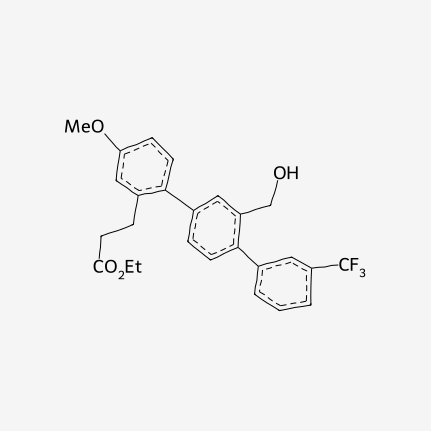 CCOC(=O)CCc1cc(OC)ccc1-c1ccc(-c2cccc(C(F)(F)F)c2)c(CO)c1